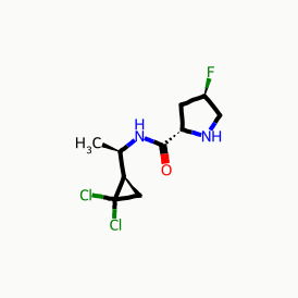 C[C@@H](NC(=O)[C@@H]1C[C@@H](F)CN1)[C@H]1CC1(Cl)Cl